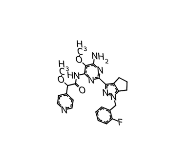 COc1c(N)nc(-c2nn(Cc3ccccc3F)c3c2CCC3)nc1NC(=O)C(OC)c1ccncc1